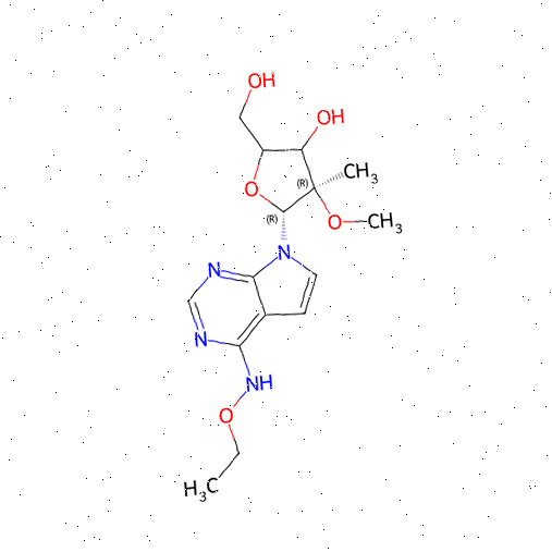 CCONc1ncnc2c1ccn2[C@@H]1OC(CO)C(O)[C@@]1(C)OC